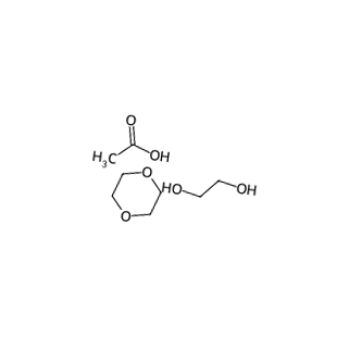 C1COCCO1.CC(=O)O.OCCO